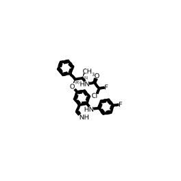 C[C@H](NC(=O)C(F)Cl)[C@H](Oc1ccc(Nc2ccc(F)cc2)c(C=N)c1)c1ccccc1